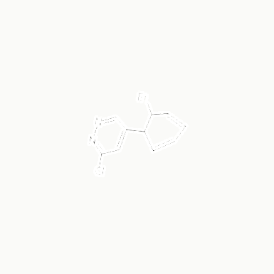 CCC1C=CC=CC1c1cnnc(Cl)c1